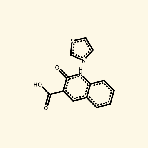 O=C(O)c1cc2ccccc2[nH]c1=O.c1cscn1